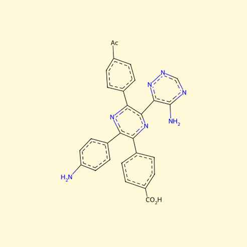 CC(=O)c1ccc(-c2nc(-c3ccc(N)cc3)c(-c3ccc(C(=O)O)cc3)nc2-c2nncnc2N)cc1